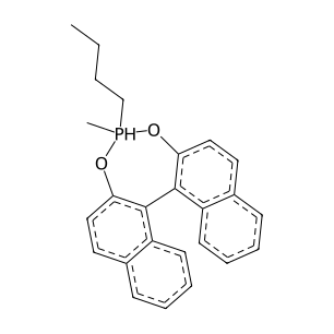 CCCC[PH]1(C)Oc2ccc3ccccc3c2-c2c(ccc3ccccc23)O1